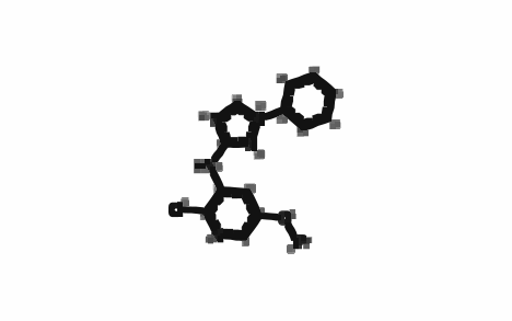 CC(C)Oc1cnc(Cl)c(Nc2ncn(-c3ccccc3)n2)c1